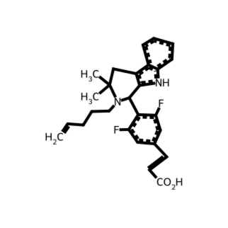 C=CCCCN1C(c2c(F)cc(/C=C/C(=O)O)cc2F)c2[nH]c3ccccc3c2CC1(C)C